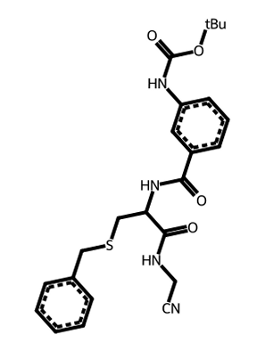 CC(C)(C)OC(=O)Nc1cccc(C(=O)NC(CSCc2ccccc2)C(=O)NCC#N)c1